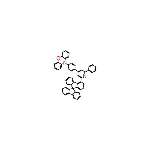 c1ccc(-c2cc(-c3ccc(N4c5ccccc5Oc5ccccc54)cc3)cc(-c3cccc4c3-c3ccccc3C43c4ccccc4-c4ccccc43)n2)cc1